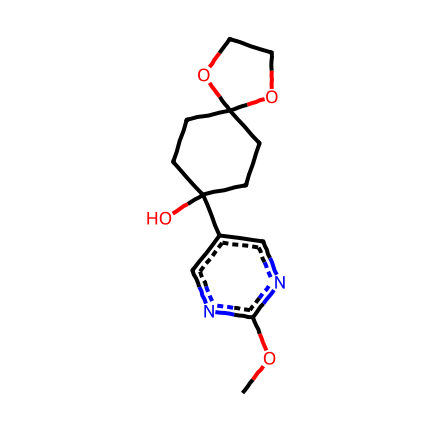 COc1ncc(C2(O)CCC3(CC2)OCCO3)cn1